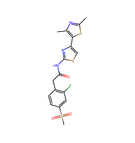 Cc1nc(C)c(-c2csc(NC(=O)Cc3ccc(S(C)(=O)=O)cc3F)n2)s1